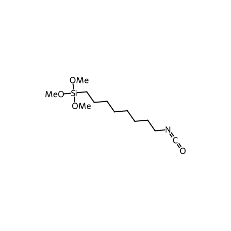 CO[Si](CCCCCCCCN=C=O)(OC)OC